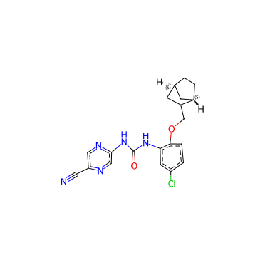 N#Cc1cnc(NC(=O)Nc2cc(Cl)ccc2OCC2C[C@H]3CC[C@H]2C3)cn1